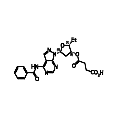 CC[C@H]1O[C@@H](n2ncc3c(NC(=O)c4ccccc4)ncnc32)C[C@H]1OC(=O)CCC(=O)O